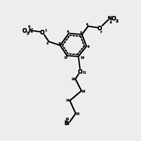 O=[N+]([O-])OCc1cc(CO[N+](=O)[O-])cc(OCCCCBr)c1